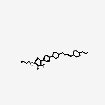 C=CCCOc1ccc(-c2ccc(C3CCC(CC/C=C/C4CCC(CCC)CC4)CC3)cc2)c(F)c1F